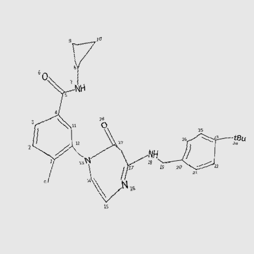 Cc1ccc(C(=O)NC2CC2)cc1-n1ccnc(NCc2ccc(C(C)(C)C)cc2)c1=O